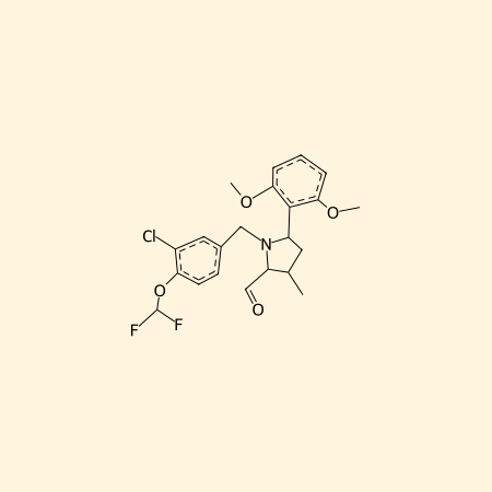 COc1cccc(OC)c1C1CC(C)C(C=O)N1Cc1ccc(OC(F)F)c(Cl)c1